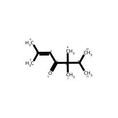 CC(C)=CC(=O)C(C)(C)C(C)C